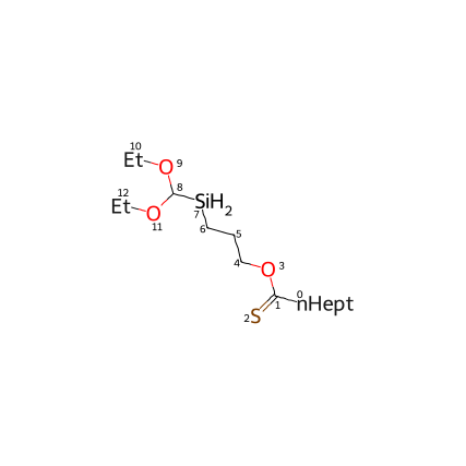 CCCCCCCC(=S)OCCC[SiH2]C(OCC)OCC